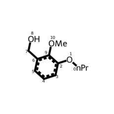 CCCOc1cccc(CO)c1OC